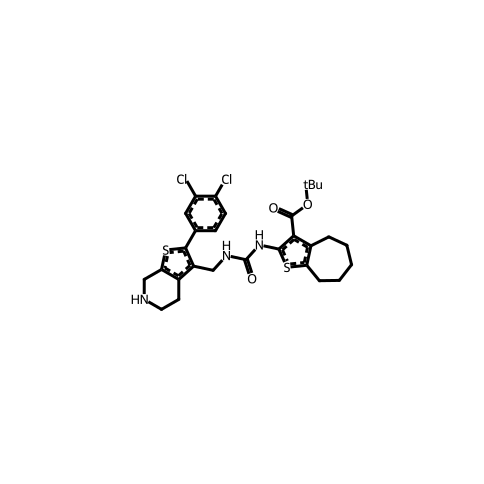 CC(C)(C)OC(=O)c1c(NC(=O)NCc2c(-c3ccc(Cl)c(Cl)c3)sc3c2CCNC3)sc2c1CCCCC2